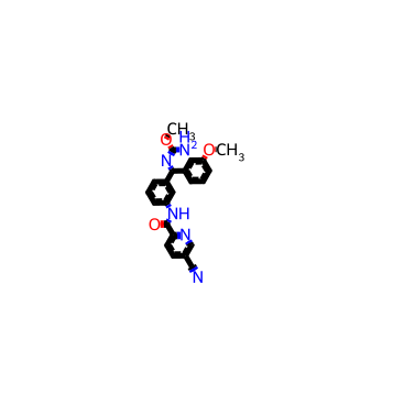 CO/C(N)=N/C(c1cccc(NC(=O)c2ccc(C#N)cn2)c1)c1cccc(OC)c1